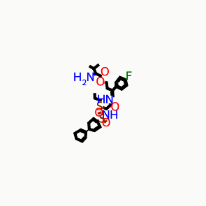 CCCS[C@H](NS(=O)(=O)C1=CC[C@H](C2=CCCC=C2)C=C1)C(=O)N/C=C(\CCOC(=O)C(N)C(C)C)c1ccc(F)cc1